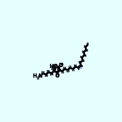 CCCCCCCC/C=C\CCCCCCC(C(=O)O)C(=O)[C@@H](N)CCCCN